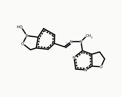 CN(/N=C/c1ccc2c(c1)COB2O)c1ncnc2c1CCO2